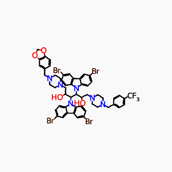 OC(CN1CCN(Cc2ccc(C(F)(F)F)cc2)CC1)C(C(C(O)CN1CCN(Cc2ccc3c(c2)OCO3)CC1)n1c2ccc(Br)cc2c2cc(Br)ccc21)n1c2ccc(Br)cc2c2cc(Br)ccc21